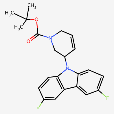 CC(C)(C)OC(=O)N1CC=CC(n2c3ccc(F)cc3c3cc(F)ccc32)C1